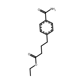 CCOC(=O)CCCc1ccc(C(N)=O)cc1